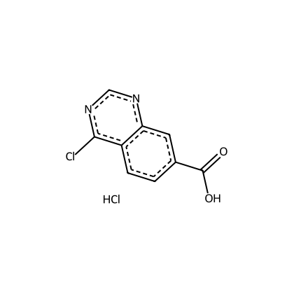 Cl.O=C(O)c1ccc2c(Cl)ncnc2c1